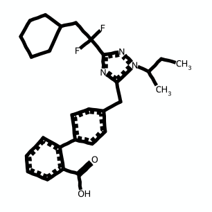 CCC(C)n1nc(C(F)(F)CC2CCCCC2)nc1Cc1ccc(-c2ccccc2C(=O)O)cc1